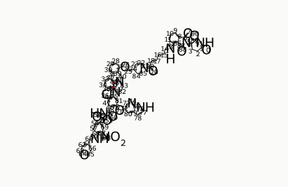 O=C1CCC(N2C(=O)c3cccc(NCCCCCC(=O)N4CCC(COc5cccc(-c6ccc(Cl)cc6)c5CN5CCN(c6ccc(C(=O)NS(=O)(=O)c7ccc(NCC8CCOCC8)c([N+](=O)[O-])c7)c(Oc7cnc8[nH]ccc8c7)c6)CC5)CC4)c3C2=O)C(=O)N1